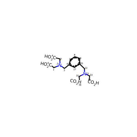 O=C(O)CN(CC(=O)O)Cc1cccc(CN(CC(=O)O)CC(=O)O)c1